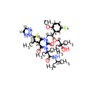 COc1ccc(F)cc1[C@H](Cn1c(=O)n(C(C)(C)C(=O)NC(C)C)c(=O)c2c(C)c(-n3nccn3)sc21)OCC(C)(C)O